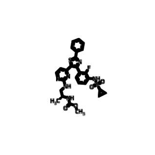 COC(=O)N[C@@H](C)CNc1nccc(-c2sc(-c3ccccc3)nc2-c2cccc(NS(=O)(=O)C3CC3)c2F)n1